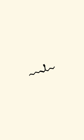 C#CC(/[C]=C/CCCCC)CCCC